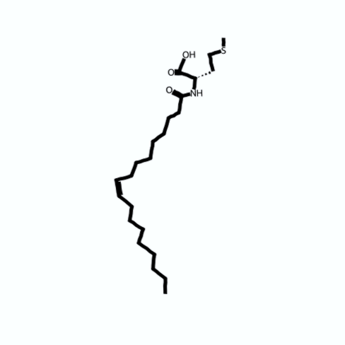 CCCCCCCC/C=C\CCCCCCCC(=O)N[C@@H](CCSC)C(=O)O